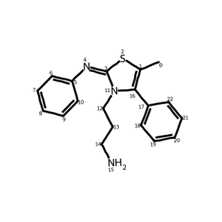 Cc1s/c(=N/c2ccccc2)n(CCCN)c1-c1ccccc1